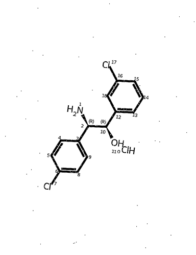 Cl.N[C@H](c1ccc(Cl)cc1)[C@H](O)c1cccc(Cl)c1